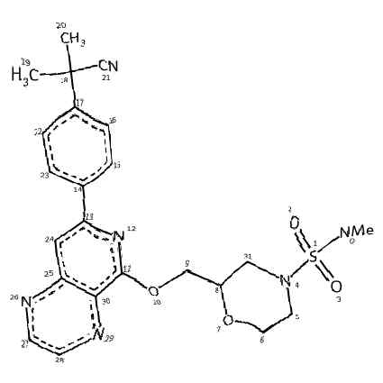 CNS(=O)(=O)N1CCOC(COc2nc(-c3ccc(C(C)(C)C#N)cc3)cc3nccnc23)C1